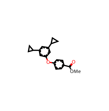 COC(=O)c1ccc(Oc2cc(C3CC3)cc(C3CC3)c2)cc1